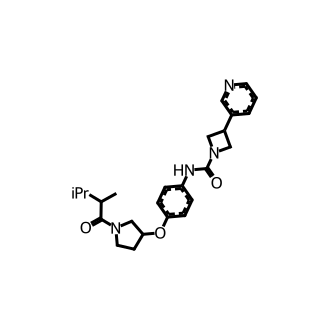 CC(C)C(C)C(=O)N1CCC(Oc2ccc(NC(=O)N3CC(c4cccnc4)C3)cc2)C1